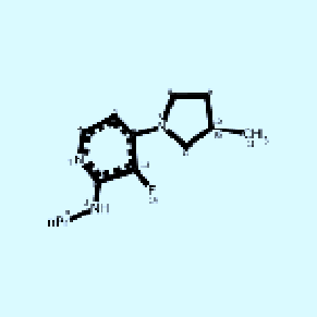 CCCNc1nccc(N2CC[C@@H](C)C2)c1F